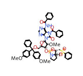 COc1ccc(C(OC[C@H]2O[C@@H](n3c(=O)n(C(=O)c4ccccc4)c4c(NC(=O)c5ccccc5)ncnc43)[C@H](OC)[C@@H]2OP2O[C@H](CS(=O)(=O)c3ccccc3)[C@@H]3CCCN32)(c2ccccc2)c2ccc(OC)cc2)cc1